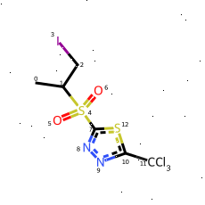 CC(CI)S(=O)(=O)c1nnc(C(Cl)(Cl)Cl)s1